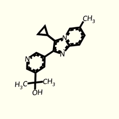 Cc1ccc2nc(-c3cncc(C(C)(C)O)c3)c(C3CC3)n2c1